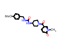 COc1ccc(CNC(=O)NC2CCN(C(=O)c3ccc(=O)n(C)c3)CC2)cc1